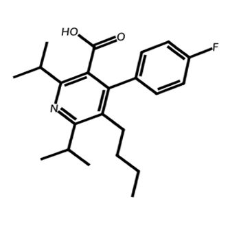 CCCCc1c(C(C)C)nc(C(C)C)c(C(=O)O)c1-c1ccc(F)cc1